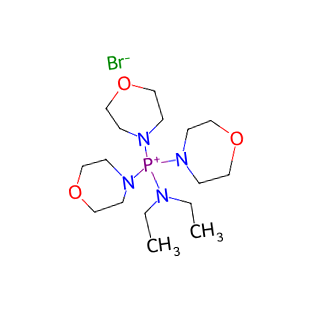 CCN(CC)[P+](N1CCOCC1)(N1CCOCC1)N1CCOCC1.[Br-]